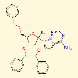 CCC1(c2ccc3c(N)ncnn23)O[C@H](COCc2ccccc2)[C@@H](OCc2ccccc2)[C@H]1OCc1ccccc1